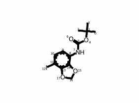 CC(C)(C)OC(=O)Nc1ccc(I)c2c1OCO2